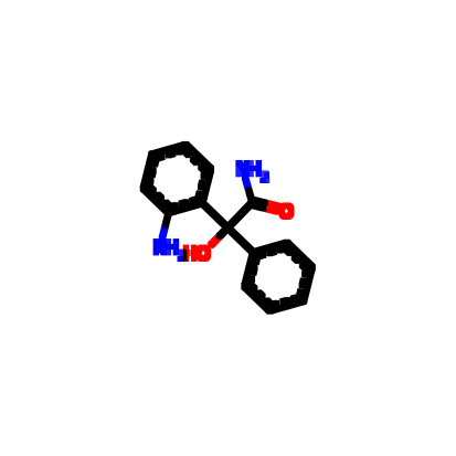 NC(=O)C(O)(c1ccccc1)c1ccccc1N